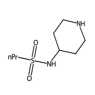 CCCS(=O)(=O)NC1CCNCC1